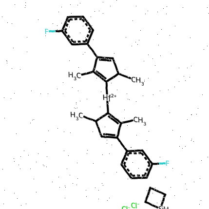 C1C[SiH2]C1.CC1=[C]([Hf+2][C]2=C(C)C(c3cccc(F)c3)=CC2C)C(C)C=C1c1cccc(F)c1.[Cl-].[Cl-]